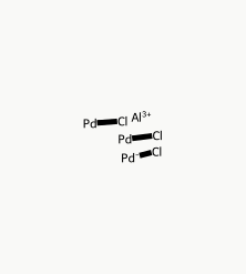 [Al+3].[Cl][Pd-].[Cl][Pd-].[Cl][Pd-]